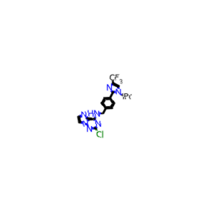 CC(C)n1cc(C(F)(F)F)nc1-c1ccc(CNc2nc(Cl)nn3ccnc23)cc1